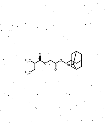 CCC(C)C(=O)OCC(=O)OCC12CC3CC(C1)C(O)C(C3)C2